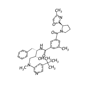 Cc1cc(C(=O)N[C@@H](Cc2ccccc2)[C@H](O)CN(C)c2cncc(C(C)(C)C)c2)cc(C(=O)N2CCC[C@@H]2c2nc(C)co2)c1